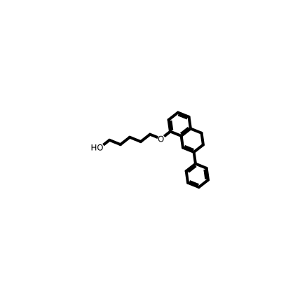 OCCCCCOc1cccc2c1C=C(c1ccccc1)CC2